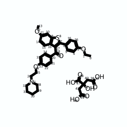 CCOc1ccc(-c2sc3cc(OC)ccc3c2C(=O)c2ccc(OCCN3CCCCC3)cc2)cc1.O=C(O)CC(O)(CC(=O)O)C(=O)O